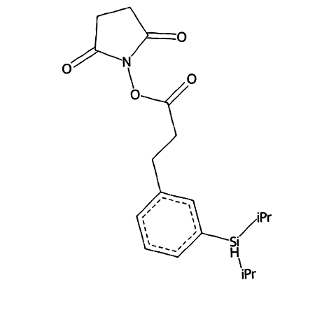 CC(C)[SiH](c1cccc(CCC(=O)ON2C(=O)CCC2=O)c1)C(C)C